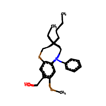 CCCCC1(CC)CSc2cc(CO)c(SC)cc2N(c2ccccc2)C1